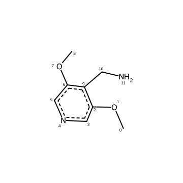 COc1cncc(OC)c1CN